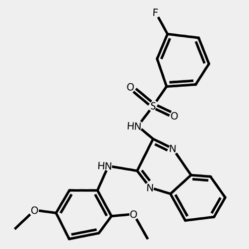 COc1ccc(OC)c(Nc2nc3ccccc3nc2NS(=O)(=O)c2cccc(F)c2)c1